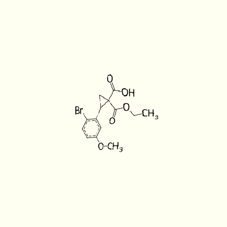 CCOC(=O)C1(C(=O)O)CC1c1cc(OC)ccc1Br